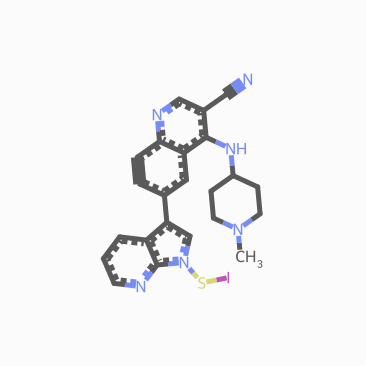 CN1CCC(Nc2c(C#N)cnc3c#cc(-c4cn(SI)c5ncccc45)cc23)CC1